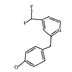 FC(F)c1ccnc(Cc2ccc(Cl)cc2)c1